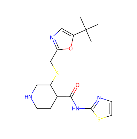 CC(C)(C)c1cnc(CSC2CNCCC2C(=O)Nc2nccs2)o1